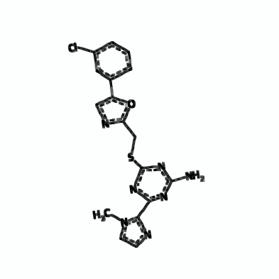 Cn1ccnc1-c1nc(N)nc(SCc2ncc(-c3cccc(Cl)c3)o2)n1